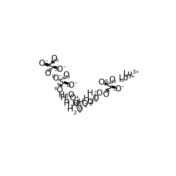 O.O.O.O.O.O.O.O.O=S(=O)([O-])[O-].O=S(=O)([O-])[O-].O=S(=O)([O-])[O-].[Lu+3].[Lu+3]